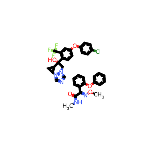 CNC(=O)/C(=N/OC)c1ccccc1Oc1ccccc1.OC(Cn1cncn1)(c1ccc(Oc2ccc(Cl)cc2)cc1C(F)(F)F)C1CC1